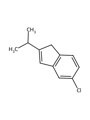 CC(C)C1=Cc2cc(Cl)ccc2C1